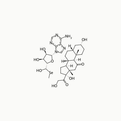 C[C@]12CC[C@@H](O)C[C@H]1CC[C@@H]1[C@@H]2C(=O)C[C@@]2(C)[C@H]1CC[C@]2(O)C(=O)CO.C[Se]C(O)[C@H]1O[C@@H](n2cnc3c(N)ncnc32)[C@H](O)[C@@H]1O